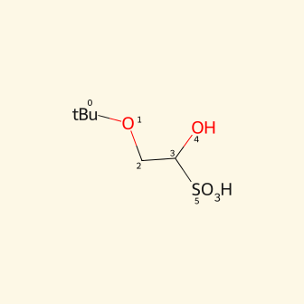 CC(C)(C)OCC(O)S(=O)(=O)O